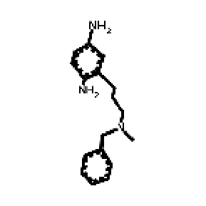 CN(CCCc1cc(N)ccc1N)Cc1ccccc1